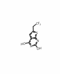 Oc1nc(O)c2cc(CC(F)(F)F)sc2n1